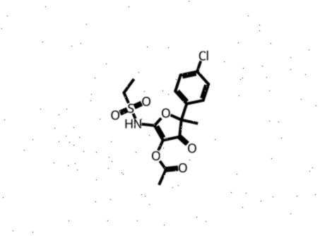 CCS(=O)(=O)NC1=C(OC(C)=O)C(=O)C(C)(c2ccc(Cl)cc2)O1